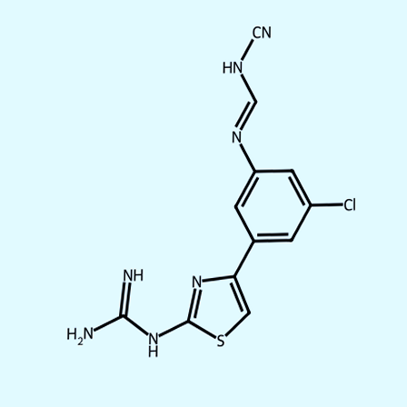 N#CN/C=N/c1cc(Cl)cc(-c2csc(NC(=N)N)n2)c1